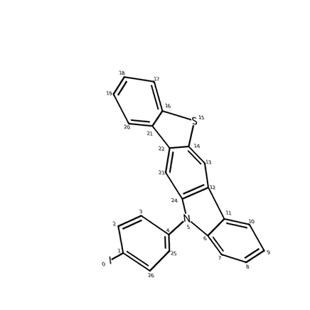 Ic1ccc(-n2c3ccccc3c3cc4sc5ccccc5c4cc32)cc1